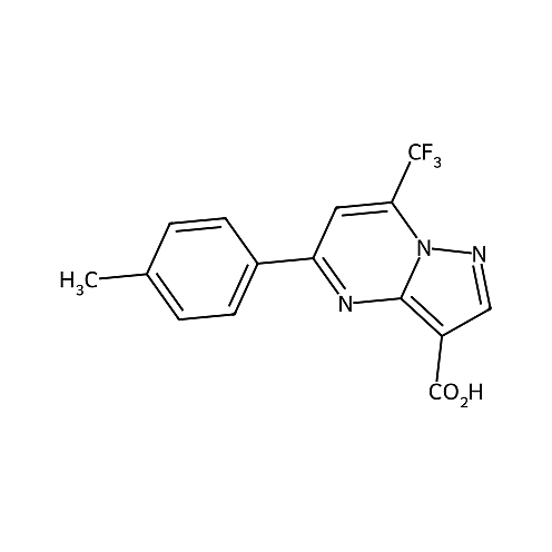 Cc1ccc(-c2cc(C(F)(F)F)n3ncc(C(=O)O)c3n2)cc1